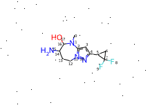 CN1c2cc(C3CC3(F)F)nn2CCC(N)C1O